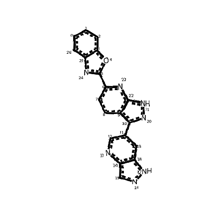 c1ccc2oc(-c3ccc4c(-c5cnc6cn[nH]c6c5)n[nH]c4n3)nc2c1